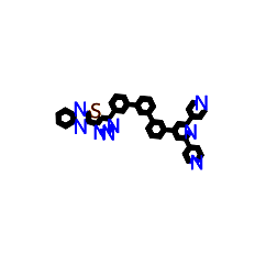 c1cc(-c2cccc(-c3cc(-c4ccncc4)nc(-c4ccncc4)c3)c2)cc(-c2cccc(-c3nnnc4c3sc3nc5ccccc5nc34)c2)c1